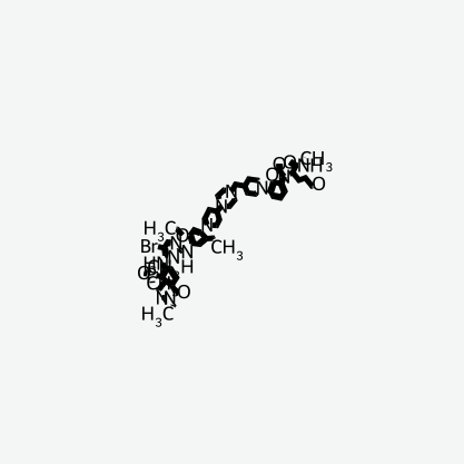 CCOc1cc(N2CCC(N3CCN(CC4CCN(c5cccc6c5oc(=O)n6C(CCC=O)C(=O)NC)CC4)CC3)CC2)c(CC)cc1Nc1ncc(Br)c(Nc2ccc3c(=O)n(CC)ncc3c2P(C)(C)=O)n1